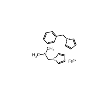 CN(C)C[c-]1cccc1.[Fe+2].c1ccc(C[c-]2cccc2)cc1